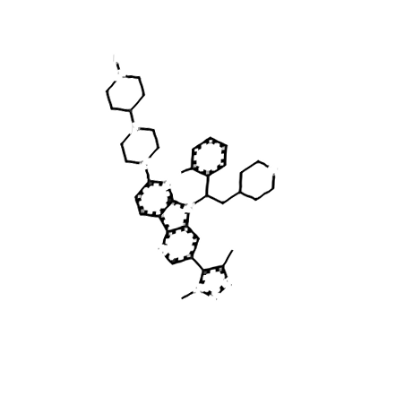 CCN1CCC(N2CCN(c3ccc4c5ncc(-c6c(C)nnn6C)cc5n(C(CC5CCOCC5)c5ccccc5F)c4n3)CC2)CC1